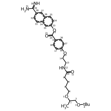 CC(COC(C)(C)C)OCCCCC(=O)NCCOc1ccc(C(=O)Oc2ccc3cc(C(=N)N)ccc3c2)cc1